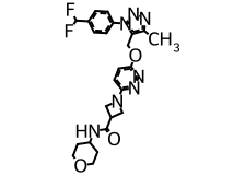 Cc1nnn(-c2ccc(C(F)F)cc2)c1COc1ccc(N2CC(C(=O)NC3CCOCC3)C2)nn1